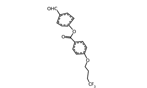 O=Cc1ccc(OC(=O)c2ccc(OCCCC(F)(F)F)cc2)cc1